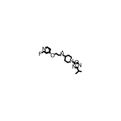 CC(C)c1noc(N2CCC(N(C)CCOc3ccnc(F)c3)CC2)n1